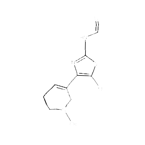 CN1CCC=C(c2nc(NC=O)sc2Cl)C1